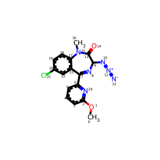 COc1cccc(C2=NC(N=[N+]=[N-])C(=O)N(C)c3ccc(Cl)cc32)n1